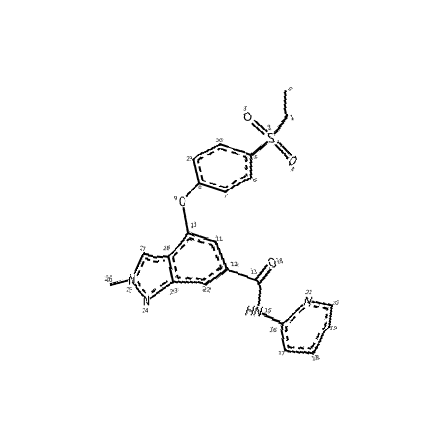 CCS(=O)(=O)c1ccc(Oc2cc(C(=O)Nc3ccccn3)cc3nn(C)cc23)cc1